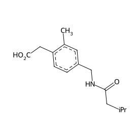 Cc1cc(CNC(=O)CC(C)C)ccc1CC(=O)O